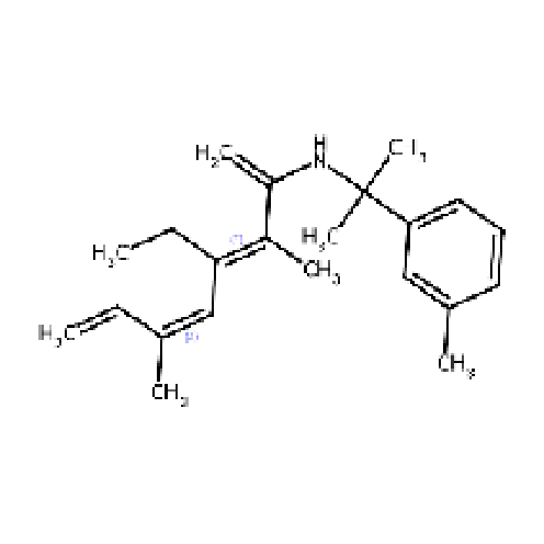 C=C/C(C)=C\C(CC)=C(/C)C(=C)NC(C)(C)c1cccc(C)c1